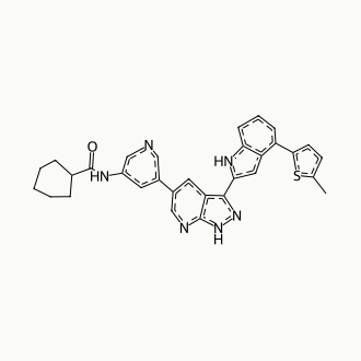 Cc1ccc(-c2cccc3[nH]c(-c4n[nH]c5ncc(-c6cncc(NC(=O)C7CCCCC7)c6)cc45)cc23)s1